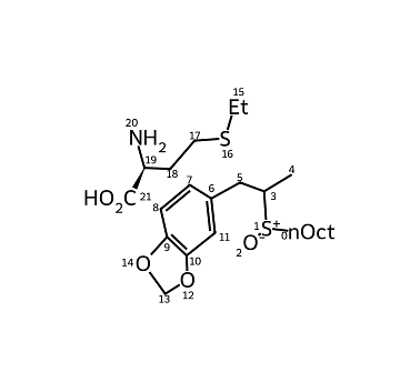 CCCCCCCC[S+]([O-])C(C)Cc1ccc2c(c1)OCO2.CCSCC[C@H](N)C(=O)O